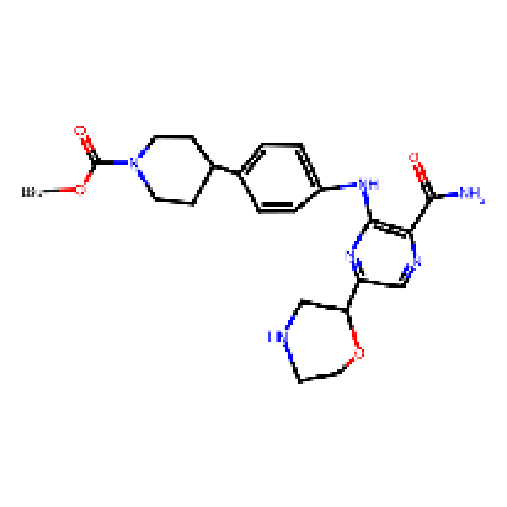 CC(C)(C)OC(=O)N1CCC(c2ccc(Nc3nc(C4CNCCO4)cnc3C(N)=O)cc2)CC1